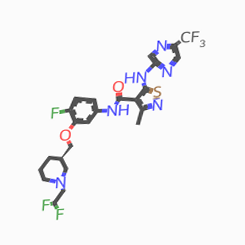 Cc1nsc(Nc2cnc(C(F)(F)F)cn2)c1C(=O)Nc1ccc(F)c(OC[C@@H]2CCCN(CC(F)F)C2)c1